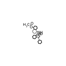 CC(=O)Oc1cccc2c1CCCC2NS(=O)(=O)C=C(c1ccccc1)c1ccccc1